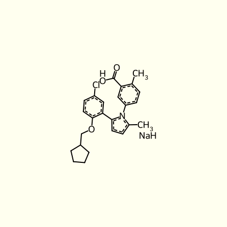 Cc1ccc(-n2c(C)ccc2-c2cc(Cl)ccc2OCC2CCCC2)cc1C(=O)O.[NaH]